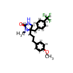 COc1ccc(CCCC2(Cc3ccc(C(F)(F)F)cc3)CNC(=O)N2C)cc1